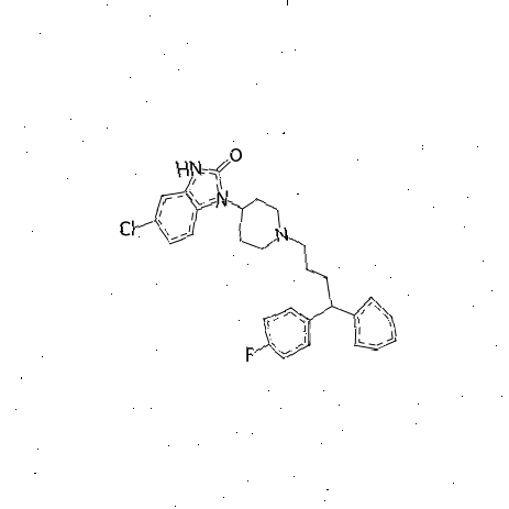 O=c1[nH]c2cc(Cl)ccc2n1C1CCN(CCCC(c2ccccc2)c2ccc(F)cc2)CC1